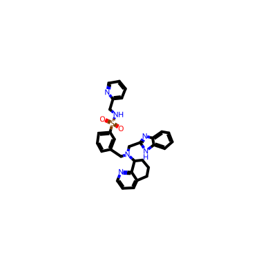 O=S(=O)(NCc1ccccn1)c1cccc(CN(Cc2nc3ccccc3[nH]2)C2CCCc3cccnc32)c1